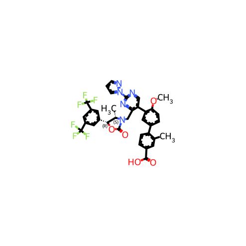 COc1ccc(-c2ccc(C(=O)O)cc2C)cc1-c1cnc(-n2cccn2)nc1CN1C(=O)O[C@H](c2cc(C(F)(F)F)cc(C(F)(F)F)c2)[C@@H]1C